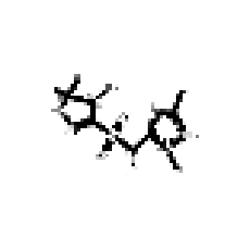 Cc1nc([C@H](Cl)S(=O)(=O)C2=NOC(C)(C)[C@H]2F)n(C)n1